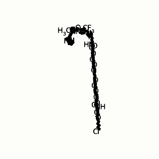 Cc1ccc(C(=O)Nc2ccc(CN3CCN(CCCNC(=O)OCCOCCOCCOCCOC/C=C/COCCOCCOCCOCCOC(=O)NCCOCCOCCCCCCCl)CC3)c(C(F)(F)F)c2)cc1C#Cc1cnc2cccnn12